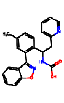 Cc1ccc(C(Cc2ccccn2)NC(=O)O)c(-c2noc3ccccc23)c1